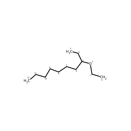 [CH2]COC(CC)CCCCCCC